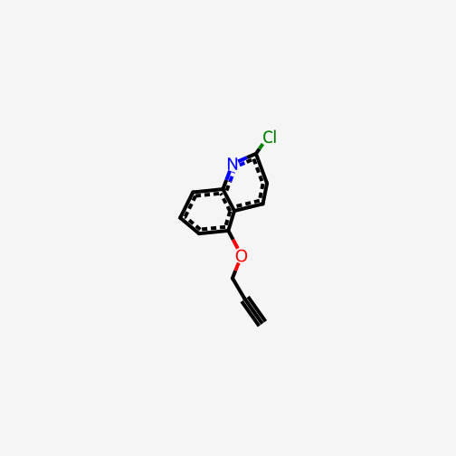 C#CCOc1cccc2nc(Cl)ccc12